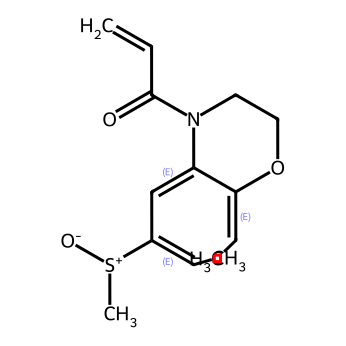 C=CC(=O)N1CCOC(=C/C)/C1=C\C(=C/C)[S+](C)[O-]